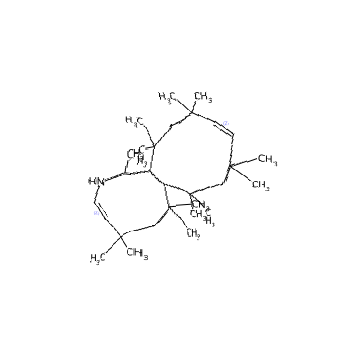 CC1N/C=C\C(C)(C)CC(C)(C)C2C1C(C)(C)CC(C)(C)/C=C\C(C)(C)CC2(C)C